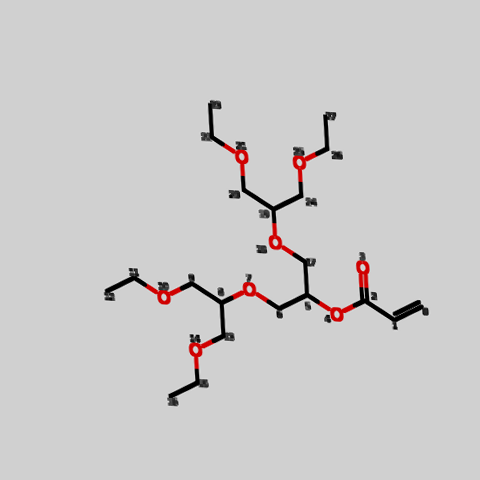 C=CC(=O)OC(COC(COCC)COCC)COC(COCC)COCC